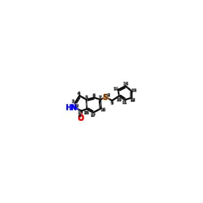 O=c1[nH]ccc2cc(SCc3ccccc3)ccc12